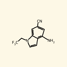 N#Cc1cc(N)c2ccn(CC(F)(F)F)c2c1